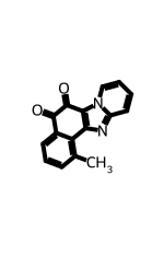 Cc1cccc2c1-c1nc3ccccn3c1C(=O)C2=O